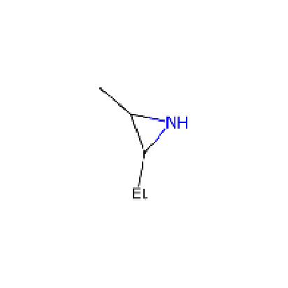 CCC1NC1C